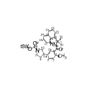 Cc1ccc(C2CCN(C(=O)OC(C)(C)C)C2)cc1C(=O)NC1(c2cccc3ccccc23)CC1